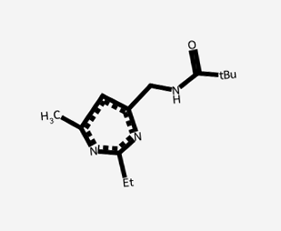 CCc1nc(C)cc(CNC(=O)C(C)(C)C)n1